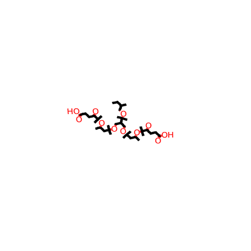 CCC(C)COC(C)(C)C(COC(C)(C)CC(C)OC(C)(C)C(=O)CCC(=O)O)COC(C)(C)CC(C)OC(C)(C)C(=O)CCC(=O)O